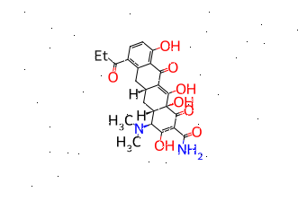 CCC(=O)c1ccc(O)c2c1C[C@H]1C[C@H]3[C@H](N(C)C)C(O)=C(C(N)=O)C(=O)[C@@]3(O)C(O)=C1C2=O